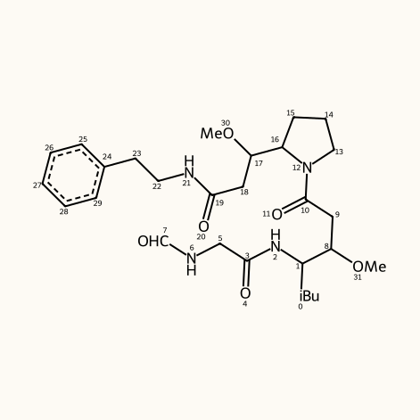 CCC(C)C(NC(=O)CNC=O)C(CC(=O)N1CCCC1C(CC(=O)NCCc1ccccc1)OC)OC